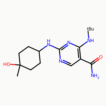 CC1(O)CCC(Nc2ncc(C(N)=O)c(NC(C)(C)C)n2)CC1